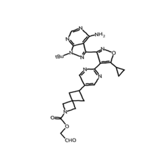 CC(C)(C)n1nc(-c2noc(C3CC3)c2-c2ncc(C3CC4(C3)CN(C(=O)OCC=O)C4)cn2)c2c(N)ncnc21